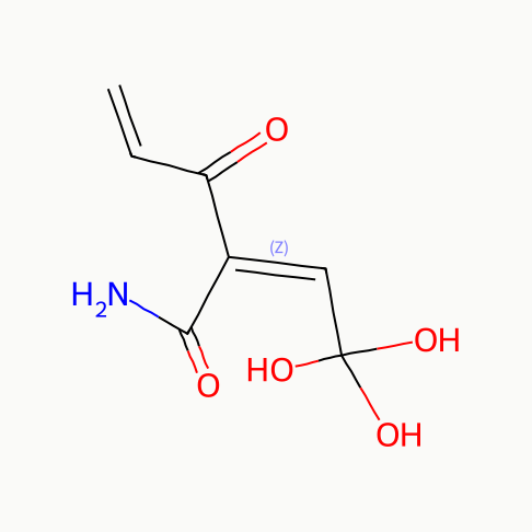 C=CC(=O)/C(=C/C(O)(O)O)C(N)=O